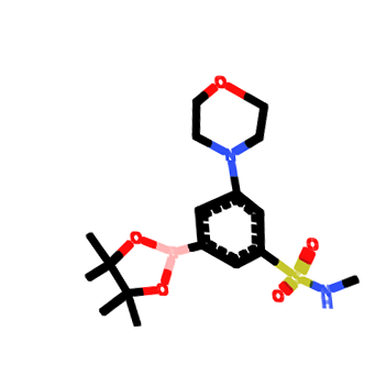 CNS(=O)(=O)c1cc(B2OC(C)(C)C(C)(C)O2)cc(N2CCOCC2)c1